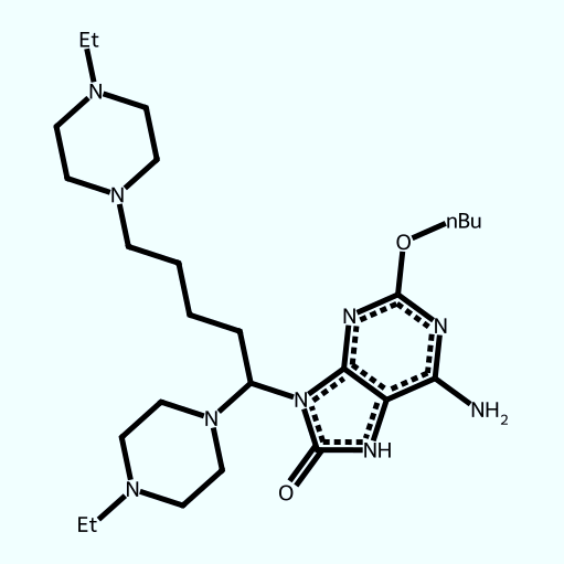 CCCCOc1nc(N)c2[nH]c(=O)n(C(CCCCN3CCN(CC)CC3)N3CCN(CC)CC3)c2n1